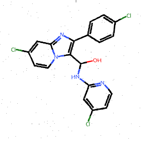 OC(Nc1cc(Cl)ccn1)c1c(-c2ccc(Cl)cc2)nc2cc(Cl)ccn12